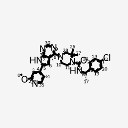 COc1cc(-c2cc3c(N4CCN(C(=O)N[C@@H](C)c5ccc(Cl)cc5)C(C)(C)C4)ncnc3[nH]2)ccn1